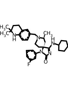 C[C@H]1C[C@]2(CCN1Cc1ccc3c(c1)CCC(C)(C)N3)C(NC1CCCCC1)=NC(=O)N2c1cccc(F)c1